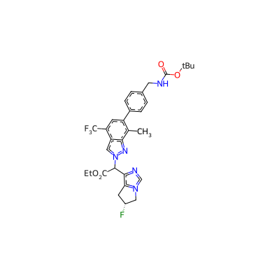 CCOC(=O)C(c1ncn2c1C[C@@H](F)C2)n1cc2c(C(F)(F)F)cc(-c3ccc(CNC(=O)OC(C)(C)C)cc3)c(C)c2n1